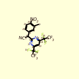 Cc1cc(C(C#N)c2nc(C(F)(F)C(F)(F)F)cc(C(F)(F)C(F)(F)F)n2)ccc1[N+](=O)[O-]